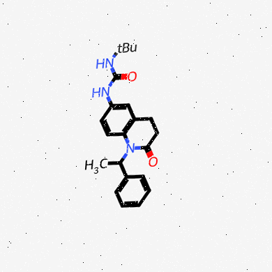 CC(c1ccccc1)N1C(=O)CCc2cc(NC(=O)NC(C)(C)C)ccc21